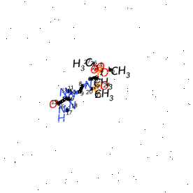 CCOP(=O)(CCN(CCn1cnc2c(=O)[nH]cnc21)CP(C)(C)=O)OCC